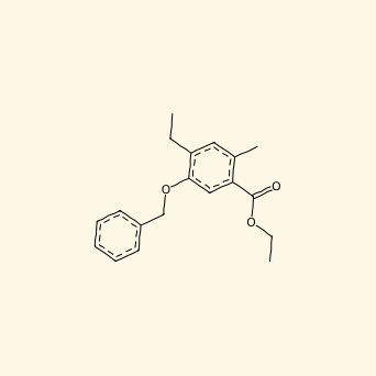 CCOC(=O)c1cc(OCc2ccccc2)c(CC)cc1C